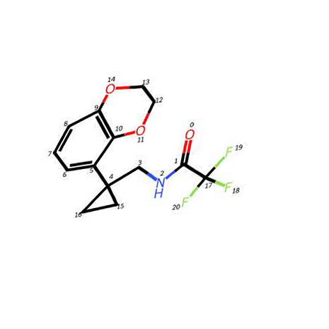 O=C(NCC1(c2cccc3c2OCCO3)CC1)C(F)(F)F